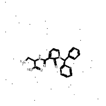 CCC(NC(=O)c1cccn(C(c2ccccc2)c2ccccc2)c1=O)C(=O)O